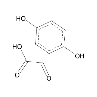 O=CC(=O)O.Oc1ccc(O)cc1